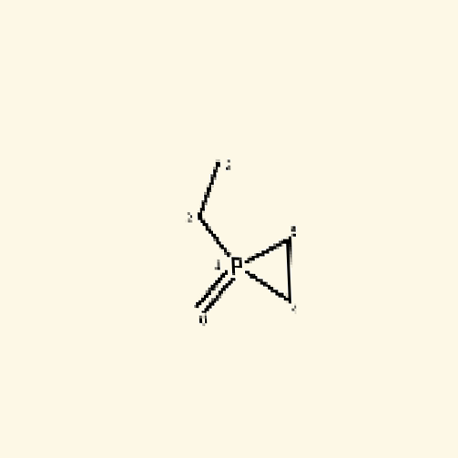 C=P1(CC)CC1